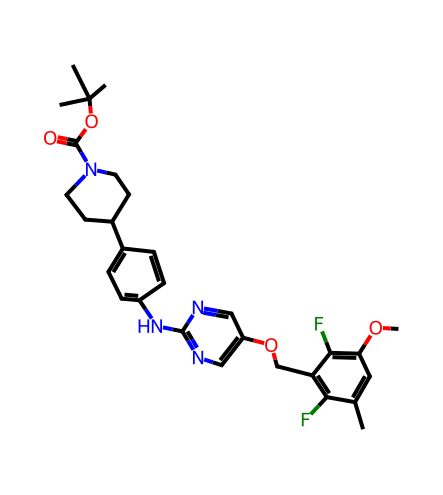 COc1cc(C)c(F)c(COc2cnc(Nc3ccc(C4CCN(C(=O)OC(C)(C)C)CC4)cc3)nc2)c1F